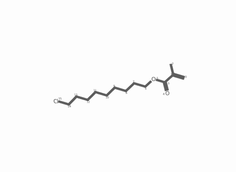 C=C(C)C(=O)OCCCCCCCCCCl